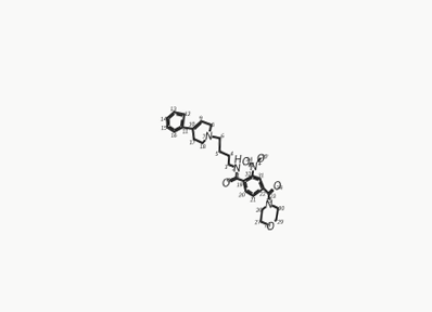 O=C(NCCCCN1CC=C(c2ccccc2)CC1)c1ccc(C(=O)N2CCOCC2)cc1[N+](=O)[O-]